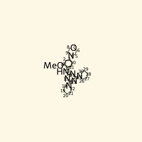 COc1cc(N2CCOCC2)ccc1Nc1nc(N2CCCCC2)nc(N2CCCCC2)n1